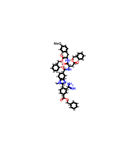 COc1ccc(CC(NC(=O)C(CC(=O)OCc2ccccc2)NC(=O)c2ccc3c(c2)nc(-c2ccc(C(=O)OCc4ccccc4)cc2C(=N)N)n3C)C(=O)OCc2ccccc2)cc1